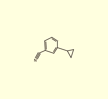 N#Cc1cc[c]c(C2CC2)c1